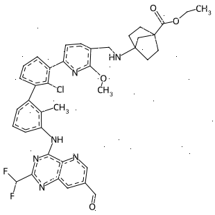 CCOC(=O)C12CCC(NCc3ccc(-c4cccc(-c5cccc(Nc6nc(C(F)F)nc7cc(C=O)cnc67)c5C)c4Cl)nc3OC)(CC1)C2